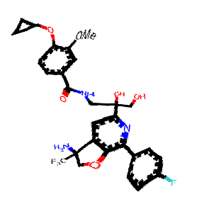 COc1cc(C(=O)NCC(O)(CO)c2cc3c(c(-c4ccc(F)cc4)n2)OCC3(N)C(F)(F)F)ccc1OC1CC1